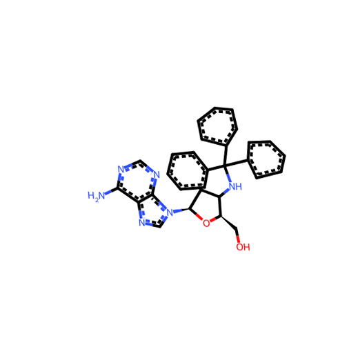 Nc1ncnc2c1ncn2[C@H]1CC(NC(c2ccccc2)(c2ccccc2)c2ccccc2)[C@@H](CO)O1